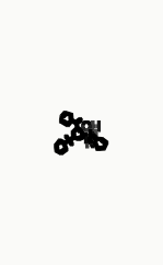 C=C(c1ccccc1)c1cc(C(C)(C)c2ccccc2)cc(-n2nc3ccccc3n2)c1O